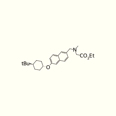 CCOC(=O)CN(C)Cc1ccc2cc(O[C@H]3CC[C@H](C(C)(C)C)CC3)ccc2c1